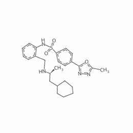 Cc1nnc(-c2ccc(S(=O)(=O)Nc3ccccc3CN[C@@H](C)CC3CCCCC3)cc2)o1